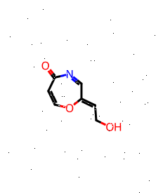 O=C1C=COC(=CCO)C=N1